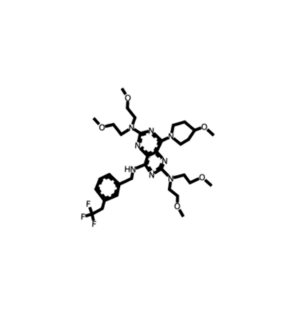 COCCN(CCOC)c1nc(N2CCC(OC)CC2)c2nc(N(CCOC)CCOC)nc(NCc3cccc(CC(F)(F)F)c3)c2n1